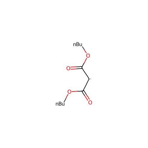 CCCCOC(=O)[CH]C(=O)OCCCC